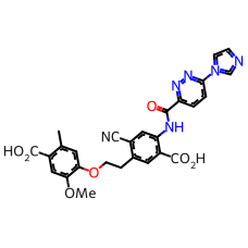 COc1cc(C(=O)O)c(C)cc1OCCc1cc(C(=O)O)c(NC(=O)c2ccc(-n3ccnc3)nn2)cc1C#N